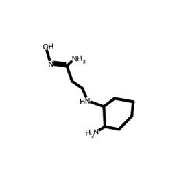 N/C(CCNC1CCCCC1N)=N\O